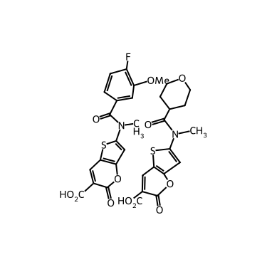 CN(C(=O)C1CCOCC1)c1cc2oc(=O)c(C(=O)O)cc2s1.COc1cc(C(=O)N(C)c2cc3oc(=O)c(C(=O)O)cc3s2)ccc1F